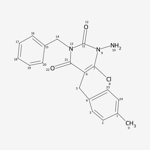 Cc1ccc(Cc2c(Cl)n(N)c(=O)n(Cc3ccccc3)c2=O)cc1